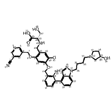 N#Cc1cncc(COc2cc(OCc3cccc(-c4cccc5c4cnn5CCCCN4CC[C@@H](O)C4)c3N)c(Cl)cc2CN[C@@H](CO)C(=O)O)c1